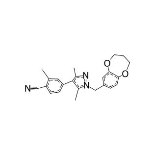 Cc1cc(-c2c(C)nn(Cc3ccc4c(c3)OCCCO4)c2C)ccc1C#N